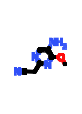 COc1nc(CC#N)ncc1N